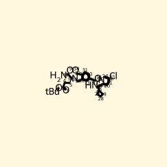 CC(C)(C)OC(=O)CC[C@@H](C(N)=O)N1Cc2cc(C(=O)N[C@H](c3ccc(Cl)cn3)C3CCC3)ccc2C1=O